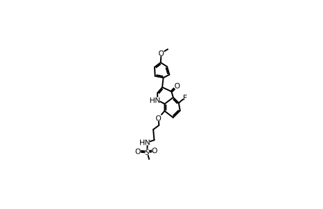 COc1ccc(-c2c[nH]c3c(OCCCNS(C)(=O)=O)ccc(F)c3c2=O)cc1